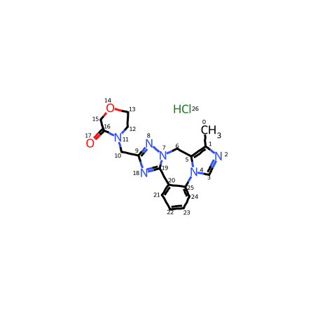 Cc1ncn2c1Cn1nc(CN3CCOCC3=O)nc1-c1ccccc1-2.Cl